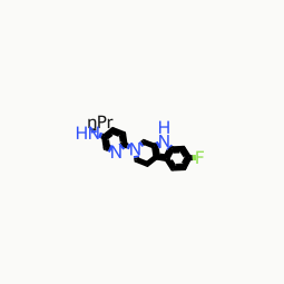 CCCNc1ccc(N2CCc3c([nH]c4cc(F)ccc34)C2)nc1